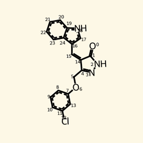 O=C1NN=C(COc2cccc(Cl)c2)/C1=C/c1c[nH]c2ccccc12